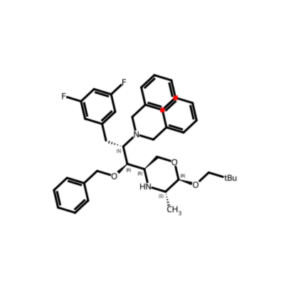 C[C@@H]1N[C@@H]([C@@H](OCc2ccccc2)[C@H](Cc2cc(F)cc(F)c2)N(Cc2ccccc2)Cc2ccccc2)CO[C@H]1OCC(C)(C)C